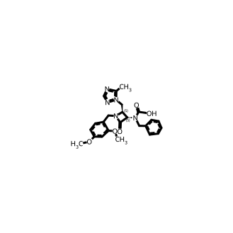 COc1ccc(CN2C(=O)[C@@H](N(Cc3ccccc3)C(=O)O)[C@@H]2Cn2ncnc2C)c(OC)c1